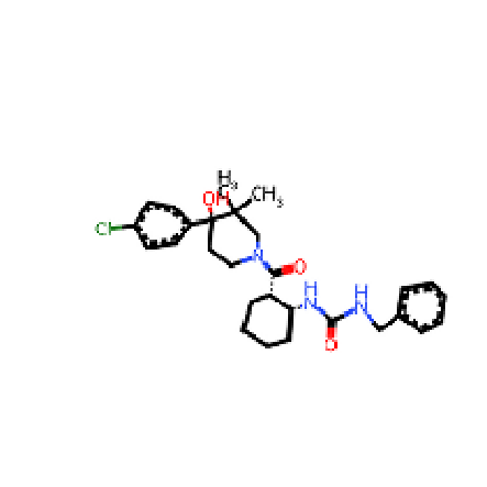 CC1(C)CN(C(=O)[C@H]2CCCC[C@H]2NC(=O)NCc2ccccc2)CC[C@]1(O)c1ccc(Cl)cc1